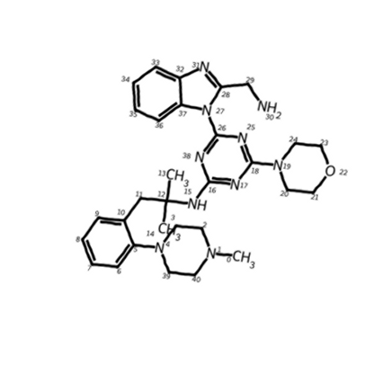 CN1CCN(c2ccccc2CC(C)(C)Nc2nc(N3CCOCC3)nc(-n3c(CN)nc4ccccc43)n2)CC1